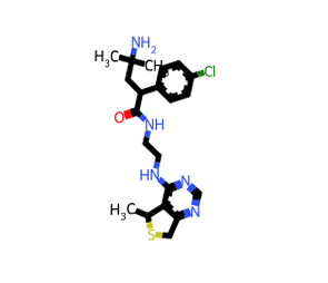 CC1SCc2ncnc(NCCNC(=O)C(CC(C)(C)N)c3ccc(Cl)cc3)c21